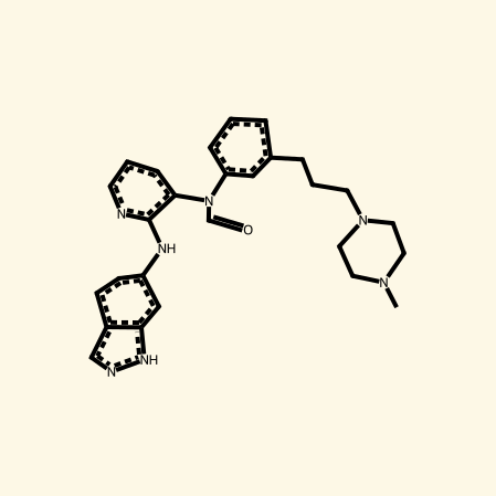 CN1CCN(CCCc2cccc(N(C=O)c3cccnc3Nc3ccc4cn[nH]c4c3)c2)CC1